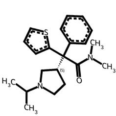 CC(C)N1CC[C@@H](C(C(=O)N(C)C)(c2ccccc2)c2cccs2)C1